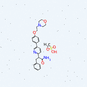 CS(=O)(=O)O.NC(=O)C(Cc1ccccc1)c1ccc(-c2ccc(OCCN3CCOCC3)cc2)cn1